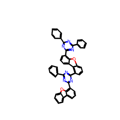 c1ccc(-c2nc(-c3ccccc3)nc(-c3cccc4c3oc3cccc(-c5nc(-c6ccccc6)nc(-c6cccc7c6oc6ccccc67)n5)c34)n2)cc1